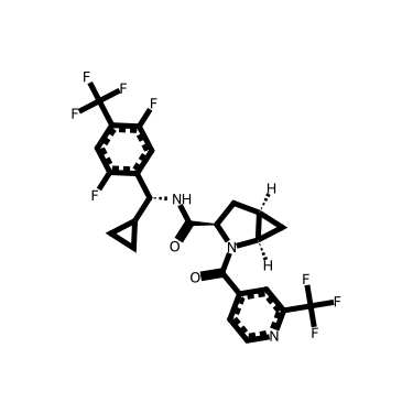 O=C(N[C@@H](c1cc(F)c(C(F)(F)F)cc1F)C1CC1)[C@H]1C[C@H]2C[C@H]2N1C(=O)c1ccnc(C(F)(F)F)c1